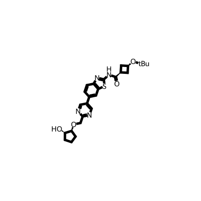 CC(C)(C)O[C@H]1C[C@@H](C(=O)Nc2nc3ccc(-c4cnc(CO[C@H]5CCC[C@@H]5O)nc4)cc3s2)C1